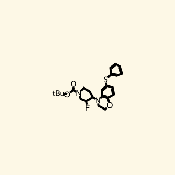 CC(C)(C)OC(=O)N1CCC(N2CCOc3ccc(Sc4ccccc4)cc32)C(F)C1